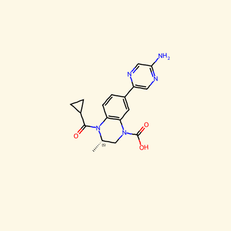 C[C@H]1CN(C(=O)O)c2cc(-c3cnc(N)cn3)ccc2N1C(=O)C1CC1